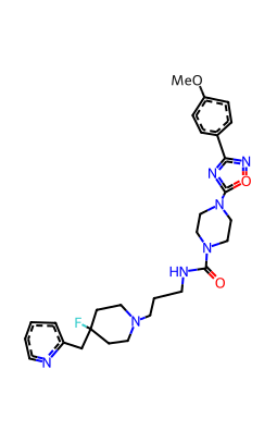 COc1ccc(-c2noc(N3CCN(C(=O)NCCCN4CCC(F)(Cc5ccccn5)CC4)CC3)n2)cc1